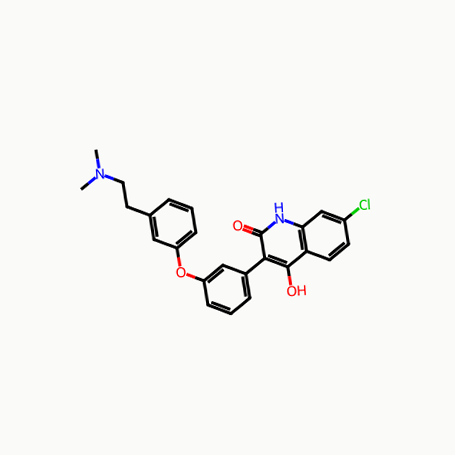 CN(C)CCc1cccc(Oc2cccc(-c3c(O)c4ccc(Cl)cc4[nH]c3=O)c2)c1